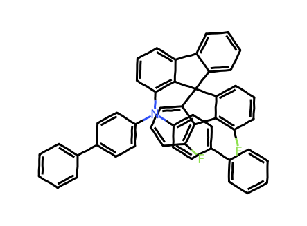 Fc1cccc2c1-c1c(F)cccc1C21c2ccccc2-c2cccc(N(c3ccc(-c4ccccc4)cc3)c3ccc(-c4ccccc4)cc3)c21